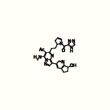 CC(=O)c1c(CCC2CC=CN2C(=O)c2nnc[nH]2)nc2c(-c3cnc4c(c3)CCC4O)cnn2c1N